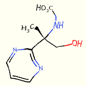 C[C@](CO)(NC(=O)O)c1ncccn1